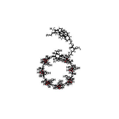 CC(C)CCC[C@@H](C)[C@H]1CC[C@H]2[C@@H]3CC=C4CC(OCOC(=O)N(C)CCCNC[C@H]5O[C@@H]6O[C@H]7[C@H](O)[C@@H](O)[C@@H](O[C@H]8[C@H](O)[C@@H](O)[C@@H](O[C@H]9[C@H](O)[C@H](O)[C@@H](O[C@H]%10[C@H](O)[C@@H](O)[C@@H](O[C@H]%11[C@H](O)[C@@H](O)[C@@H](O[C@H]%12[C@H](O)[C@@H](O)[C@@H](O[C@H]%13[C@H](O)[C@@H](O)[C@@H](O[C@H]5[C@H](O)[C@H]6O)O[C@@H]%13CO)O[C@@H]%12CO)O[C@@H]%11CO)O[C@@H]%10CO)O[C@@H]9CO)O[C@@H]8CO)O[C@@H]7CO)CC[C@]4(C)[C@H]3CC[C@]12C